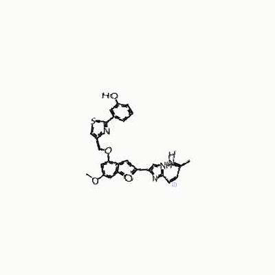 COc1cc(OCc2csc(-c3cccc(O)c3)n2)c2cc(-c3c[nH]c(/C=C\C(C)=N)n3)oc2c1